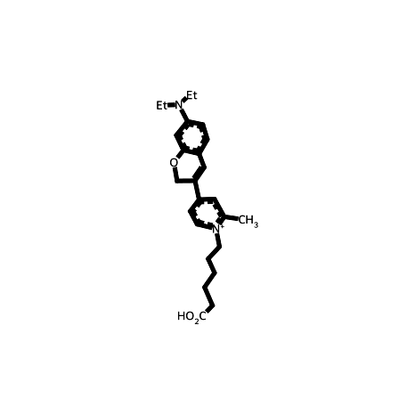 CCN(CC)c1ccc2c(c1)OCC(c1cc[n+](CCCCCC(=O)O)c(C)c1)=C2